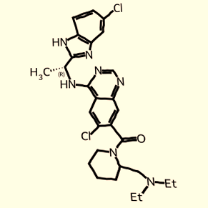 CCN(CC)CC1CCCCN1C(=O)c1cc2ncnc(N[C@H](C)c3nc4cc(Cl)ccc4[nH]3)c2cc1Cl